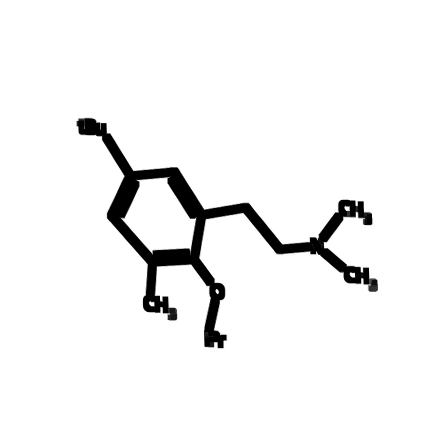 Cc1cc(C(C)(C)C)cc(CCN(C)C)c1OC(C)C